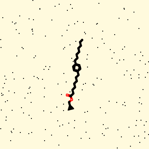 CCCCCCCCc1ccc(CCCCCCCC(=O)OCC2CC2)cc1